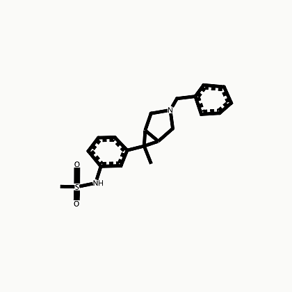 CC1(c2cccc(NS(C)(=O)=O)c2)C2CN(Cc3ccccc3)CC21